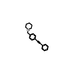 C(#Cc1ccc(CN2CCCCC2)cc1)c1ccccc1